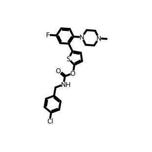 CN1CCN(c2ccc(F)cc2-c2ccc(OC(=O)NCc3ccc(Cl)cc3)s2)CC1